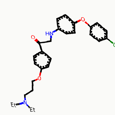 CCN(CC)CCCOc1ccc(C(=O)CNc2ccc(Oc3ccc(Cl)cc3)cc2)cc1